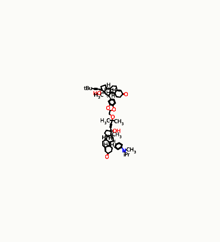 CC(C)N(C)c1ccc([C@H]2C[C@@]3(C)[C@@H](CC[C@@]3(O)C#CC(C)(C)OCC3Oc4ccc([C@H]5C[C@@]6(C)[C@@H](CC[C@@]6(O)C#CC(C)(C)C)[C@@H]6CCC7=CC(=O)CC[C@@H]7[C@H]65)cc4O3)[C@@H]3CCC4=CC(=O)CC[C@@H]4[C@H]32)cc1